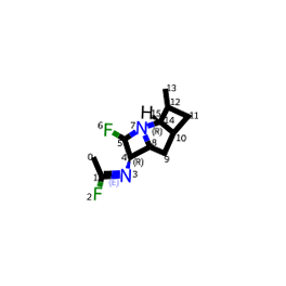 C/C(F)=N\[C@H]1C(F)N2C1CC1CC(C)[C@H]12